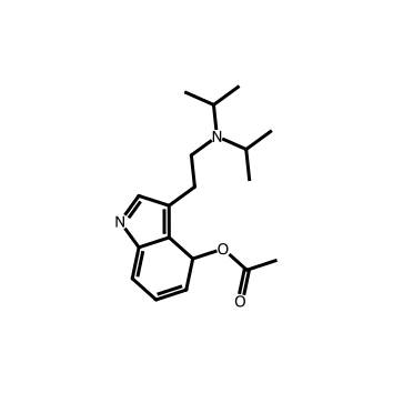 CC(=O)OC1C=CC=C2N=CC(CCN(C(C)C)C(C)C)=C21